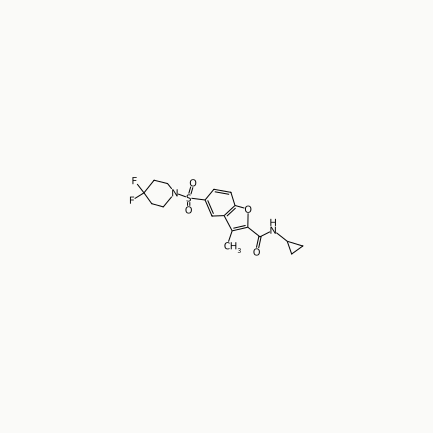 Cc1c(C(=O)NC2CC2)oc2ccc(S(=O)(=O)N3CCC(F)(F)CC3)cc12